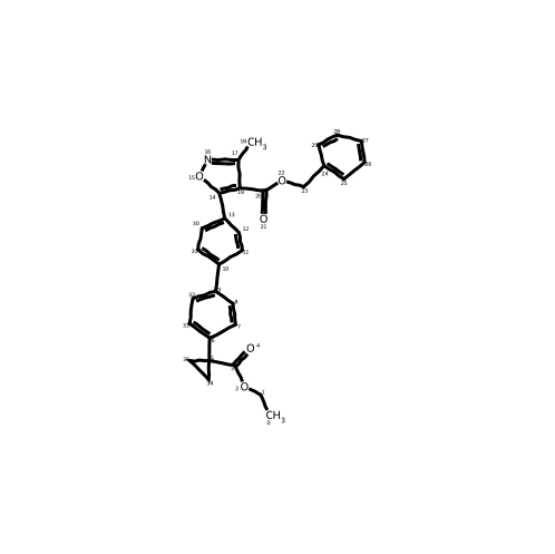 CCOC(=O)C1(c2ccc(-c3ccc(-c4onc(C)c4C(=O)OCc4ccccc4)cc3)cc2)CC1